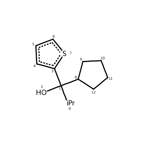 CC(C)C(O)(c1cccs1)C1CCCC1